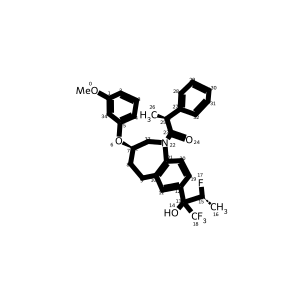 COc1cccc(O[C@@H]2CCc3cc(C(O)([C@@H](C)F)C(F)(F)F)ccc3N(C(=O)[C@@H](C)c3ccccc3)C2)c1